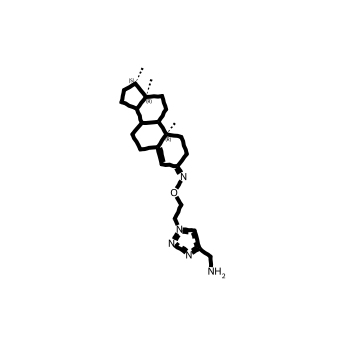 C[C@H]1CCC2C3CCC4=CC(=NOCCn5cc(CN)nn5)CC[C@]4(C)C3CC[C@@]21C